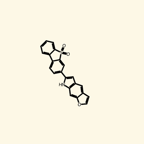 O=S1(=O)c2ccccc2-c2ccc(-c3cc4cc5ccoc5cc4[nH]3)cc21